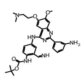 COc1cc2nc(-c3cccc(N)c3)nc(Nc3ccc(NC(=O)OC(C)(C)C)c(C=N)c3)c2cc1OCCN(C)C